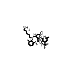 Cc1cc(C(F)(F)F)cc(N2C(=O)C[C@@H]3CN(CCCCCN)c4c(C)cccc4N(C)C(=O)[C@H]32)n1